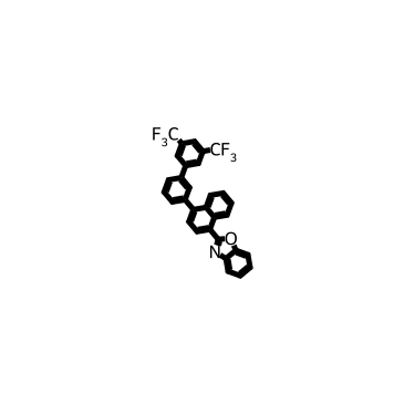 FC(F)(F)c1cc(-c2cccc(-c3ccc(-c4nc5ccccc5o4)c4ccccc34)c2)cc(C(F)(F)F)c1